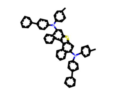 Cc1ccc(N(c2ccc(-c3ccccc3)cc2)c2cc3sc4cc(N(c5ccc(C)cc5)c5ccc(-c6ccccc6)cc5)c5ccccc5c4c3c3ccccc23)cc1